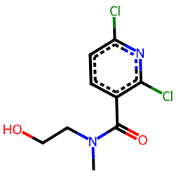 CN(CCO)C(=O)c1ccc(Cl)nc1Cl